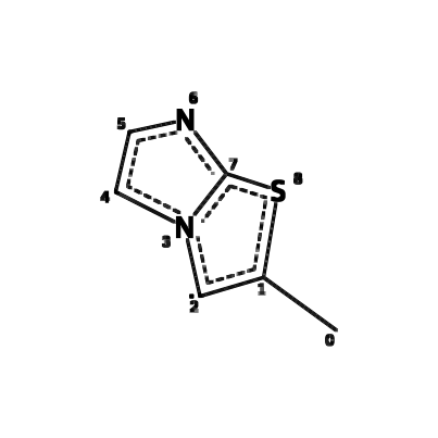 Cc1[c]n2ccnc2s1